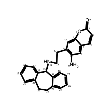 Nc1cc2ccc(=O)oc2cc1CCNC1c2ccccc2CCc2ccccc21